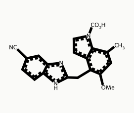 COc1cc(C)c2c(ccn2C(=O)O)c1Cc1nc2cc(C#N)ccc2[nH]1